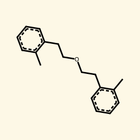 Cc1ccccc1CCOCCc1ccccc1C